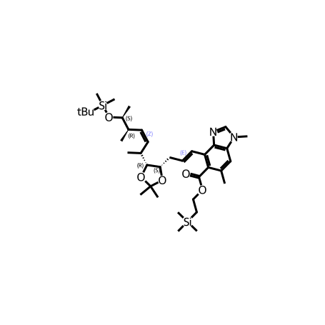 Cc1cc2c(ncn2C)c(/C=C/C[C@@H]2OC(C)(C)O[C@@H]2C(C)/C=C\[C@@H](C)[C@H](C)O[Si](C)(C)C(C)(C)C)c1C(=O)OCC[Si](C)(C)C